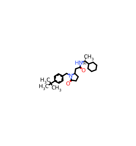 C[C@@H](NC(=O)CC1CCC(=O)N1Cc1ccc(C(C)(C)C)cc1)C1CCCCC1